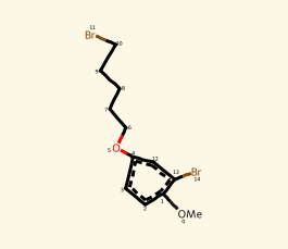 COc1ccc(OCCCCCBr)cc1Br